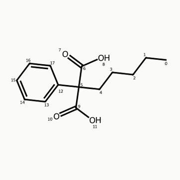 CCCCCC(C(=O)O)(C(=O)O)c1ccccc1